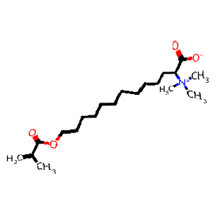 C=C(C)C(=O)OCCCCCCCCCCCC(C(=O)[O-])[N+](C)(C)C